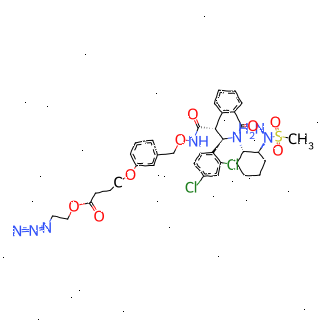 CS(=O)(=O)N(N)[C@H]1CCCC[C@@H]1N1C(=O)c2ccccc2[C@@H](C(=O)NOCc2cccc(OCCCC(=O)OCCN=[N+]=[N-])c2)[C@@H]1c1ccc(Cl)cc1Cl